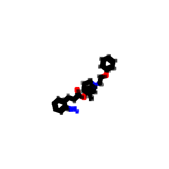 Nc1ccccc1CCC(=O)O[C@H]1C[N+]2(CCOc3ccccc3)CCC1CC2